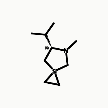 CC(C)[C@H]1C[Si]2(CC2)CN1C